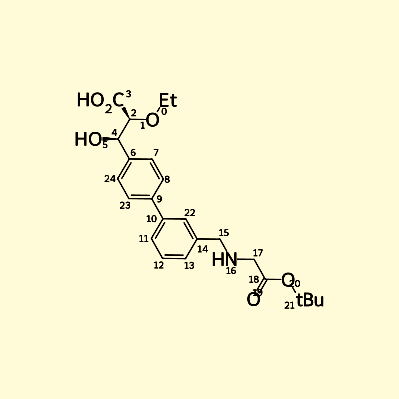 CCO[C@H](C(=O)O)[C@H](O)c1ccc(-c2cccc(CNCC(=O)OC(C)(C)C)c2)cc1